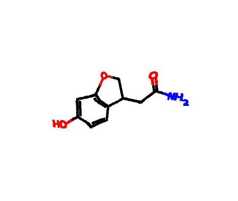 NC(=O)CC1COc2cc(O)ccc21